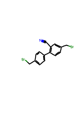 N#Cc1cc(CBr)ccc1-c1ccc(CBr)cc1